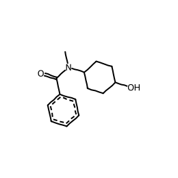 CN(C(=O)c1ccccc1)C1CCC(O)CC1